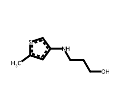 Cc1cc(NCCCO)cs1